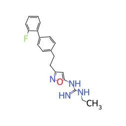 CCNC(=N)Nc1cc(CCc2ccc(-c3ccccc3F)cc2)no1